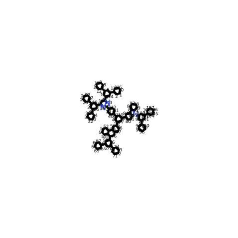 c1ccc(-c2cc(-c3ccccc3)cc(-c3cc(-c4cc(-c5ccccc5)cc(-c5ccccc5)c4)nc(-c4ccc(-c5cc(-c6ccc7c(c6)-c6ccccc6C(c6cc(-c8ccccc8)cc(-c8ccccc8)c6)C7)cc(-c6ccc7c(c6)c6ccccc6n7-c6cc(-c7ccccc7)cc(-c7ccccc7)c6)c5)cc4)n3)c2)cc1